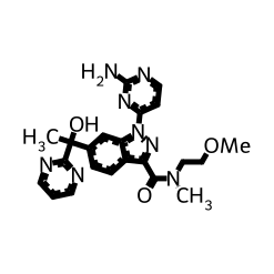 COCCN(C)C(=O)c1nn(-c2ccnc(N)n2)c2cc(C(C)(O)c3ncccn3)ccc12